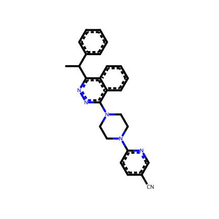 CC(c1ccccc1)c1nnc(N2CCN(c3ccc(C#N)cn3)CC2)c2ccccc12